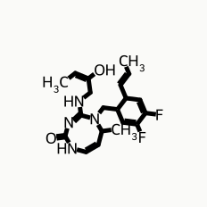 C/C=C/C1C=C(F)C(F)=CC1CN1/C(NC/C(O)=C\C)=N\C(=O)N/C=C\C1C